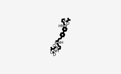 COC(=O)NC(C(=O)N1CCCC1c1ncc(CCc2ccc(-c3ccc4nc(C5CCCN5C(=O)C(C)C)[nH]c4c3)cc2)[nH]1)C(C)C